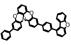 c1ccc(-c2ccc3c(c2)Oc2cccc4c2N3c2ccc(-c3ccc(-c5cccc6oc7ccccc7c56)cc3)cc2O4)cc1